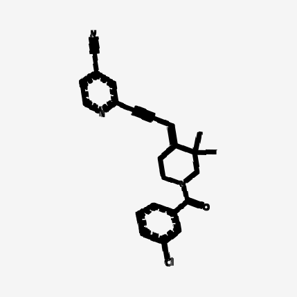 CC1(C)CN(C(=O)c2cccc(Cl)c2)CC/C1=C\C#Cc1cc(C#N)ccn1